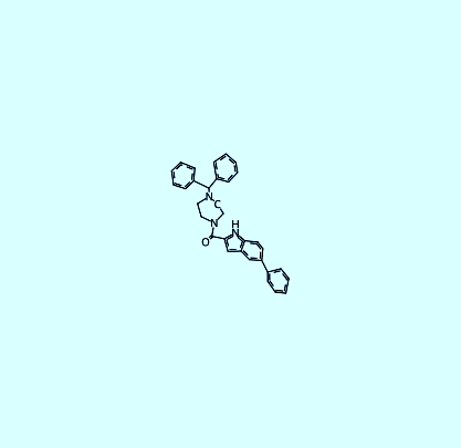 O=C(c1cc2cc(-c3ccccc3)ccc2[nH]1)N1CCN(C(c2ccccc2)c2ccccc2)CC1